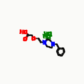 Cl.Cl.O=C(O)COCCN1CCN(Cc2ccccc2)CC1